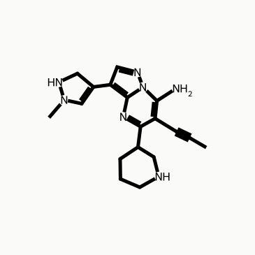 CC#Cc1c(C2CCCNC2)nc2c(C3=CN(C)NC3)cnn2c1N